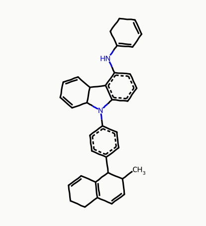 CC1C=CC2=C(C=CCC2)C1c1ccc(N2c3cccc(NC4=CC=CCC4)c3C3C=CC=CC32)cc1